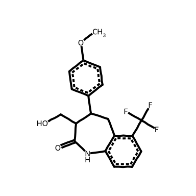 COc1ccc(C2Cc3c(cccc3C(F)(F)F)NC(=O)C2CO)cc1